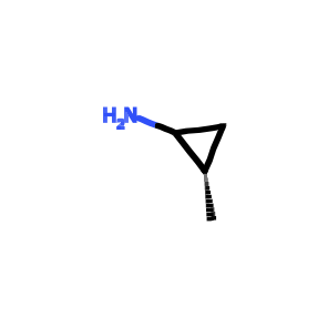 C[C@H]1CC1N